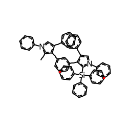 Cc1c(-c2cccc(-c3c(-c4ccccc4)cn(-c4ccccc4)c3[Si](c3ccccc3)(c3ccccc3)c3ccccc3)c2)c(-c2ccccc2)cn1-c1ccccc1